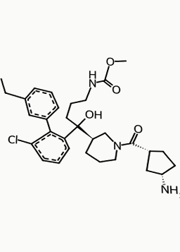 CCc1cccc(-c2c(Cl)cccc2C(O)(CCCNC(=O)OC)[C@@H]2CCCN(C(=O)[C@@H]3CC[C@H](N)C3)C2)c1